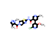 COc1cnc(Cl)cc1-c1cc(C)ncc1C(=O)Nc1nc2c(s1)CN(C(=O)c1c(C)cnn1C)C2